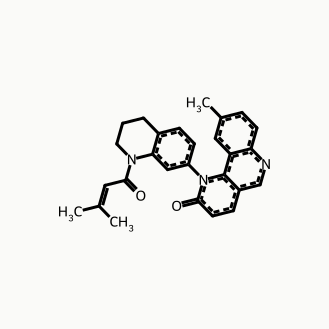 CC(C)=CC(=O)N1CCCc2ccc(-n3c(=O)ccc4cnc5ccc(C)cc5c43)cc21